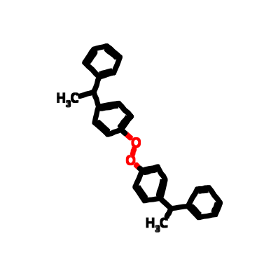 CC(c1ccccc1)c1ccc(OOc2ccc(C(C)c3ccccc3)cc2)cc1